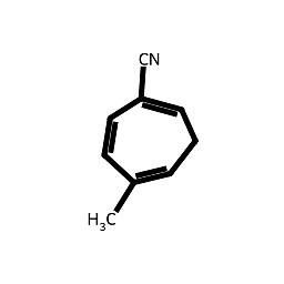 CC1=CCC=C(C#N)C=C1